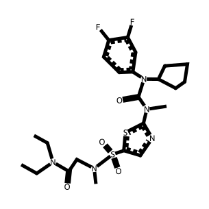 CCN(CC)C(=O)CN(C)S(=O)(=O)c1cnc(N(C)C(=O)N(c2ccc(F)c(F)c2)C2CCCC2)s1